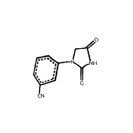 N#Cc1cccc(N2CC(=O)NC2=O)c1